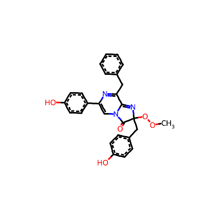 COOC1(Cc2ccc(O)cc2)N=C2C(Cc3ccccc3)=NC(c3ccc(O)cc3)=CN2C1=O